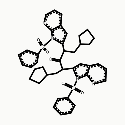 O=C(C(CC1CCCC1)c1cc2cccnc2n1S(=O)(=O)c1ccccc1)C(CC1CCCC1)c1cc2cccnc2n1S(=O)(=O)c1ccccc1